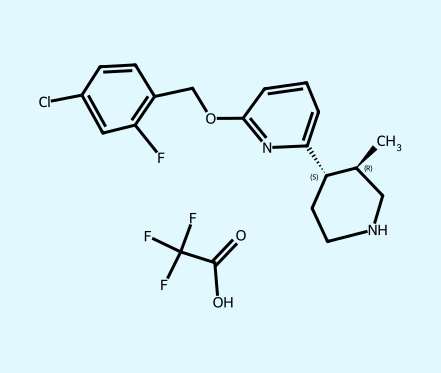 C[C@H]1CNCC[C@@H]1c1cccc(OCc2ccc(Cl)cc2F)n1.O=C(O)C(F)(F)F